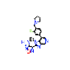 CCn1c(-c2nonc2N)nc2cncc(-c3ccc(CN4CCCC4)c(F)c3)c21